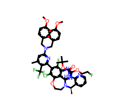 COc1ccc(CN(Cc2ccc(OC)cc2)c2cc(C)c(C(F)(F)F)c(-c3c(Cl)c4c5c(nc(OCCF)nc5c3F)N([C@H](C)c3cccnc3NC(=O)OC(C)(C)C)CCO4)n2)cc1